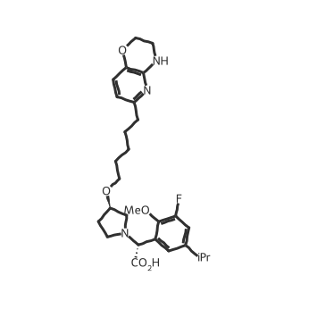 COc1c(F)cc(C(C)C)cc1[C@H](C(=O)O)N1CC[C@@H](OCCCCCc2ccc3c(n2)NCCO3)C1